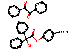 O=C(C(=O)c1ccccc1)c1ccccc1.O=C(O)c1ccc(OC(=O)C(O)(c2ccccc2)c2ccccc2)cc1